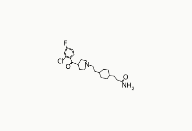 NC(=O)CCC1CCC(CCN2CCC(C(=O)c3ccc(F)cc3Cl)CC2)CC1